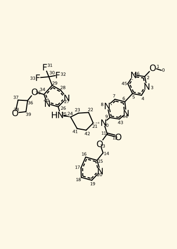 COc1ncc(-c2cnc(N(C(=O)OCc3ccccn3)[C@H]3CC[C@H](Nc4ncc(C(F)(F)F)c(OC5COC5)n4)CC3)cn2)cn1